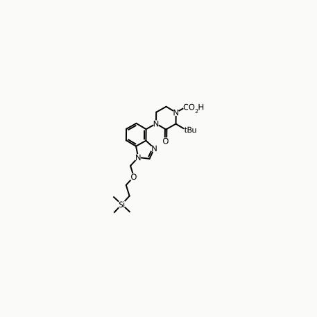 CC(C)(C)C1C(=O)N(c2cccc3c2ncn3COCC[Si](C)(C)C)CCN1C(=O)O